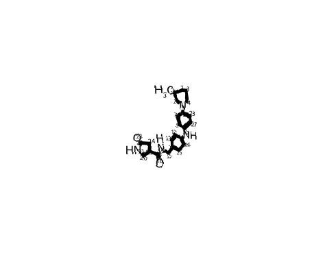 CC1CCCN(c2ccc(Nc3ccc(CNC(=O)C4CNC(=O)C4)cc3)cc2)C1